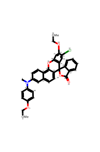 COCOc1ccc(N(C)c2ccc3c4c(ccc3c2)C2(OC(=O)c3ccccc32)c2cc(Cl)c(OCOC)cc2O4)cc1